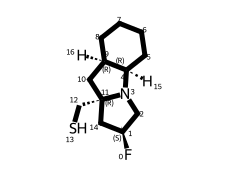 F[C@@H]1CN2[C@@H]3CCCC[C@@H]3C[C@]2(CS)C1